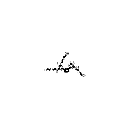 Nc1nc(NCCOCCO)nc(C2CC3CC(c4nc(NCCOCCO)nc(NCCOCCO)n4)C2C3)n1